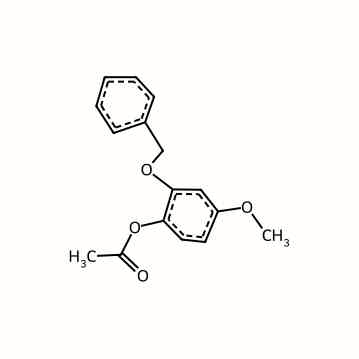 COc1ccc(OC(C)=O)c(OCc2ccccc2)c1